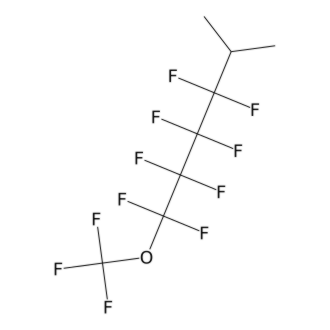 CC(C)C(F)(F)C(F)(F)C(F)(F)C(F)(F)OC(F)(F)F